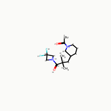 CC(C)(C)C(=O)N1CCCC(CC(C)(C)C(=O)N2CC(F)(F)C2)C1